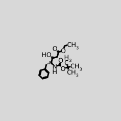 CCOC(=O)C[C@@H](O)[C@@H](Cc1ccccc1)NC(=O)OC(C)(C)C